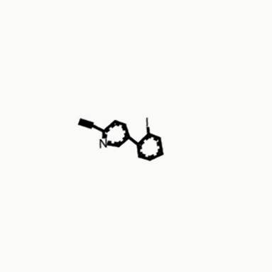 C#Cc1ccc(-c2ccccc2I)cn1